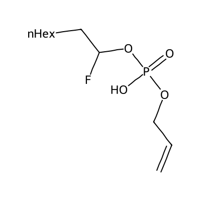 C=CCOP(=O)(O)OC(F)CCCCCCC